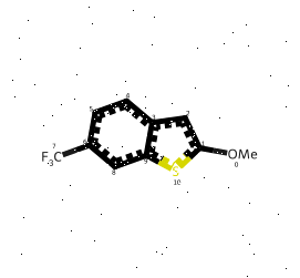 COc1cc2ccc(C(F)(F)F)cc2s1